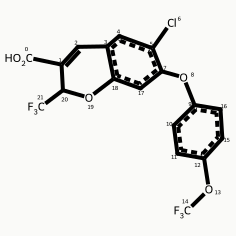 O=C(O)C1=Cc2cc(Cl)c(Oc3ccc(OC(F)(F)F)cc3)cc2OC1C(F)(F)F